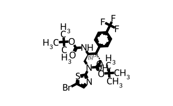 CC(C)(C)OC(=O)N[C@H](CN(C(=O)OC(C)(C)C)c1ncc(Br)s1)[C@@H](CO)c1ccc(C(F)(F)F)cc1